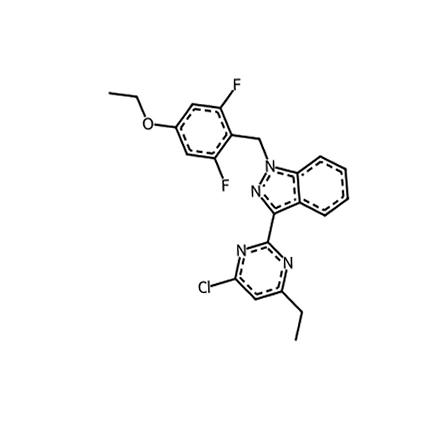 CCOc1cc(F)c(Cn2nc(-c3nc(Cl)cc(CC)n3)c3ccccc32)c(F)c1